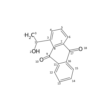 [CH2]C(O)c1cccc2c1C(=O)c1ccccc1C2=O